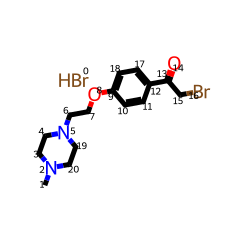 Br.CN1CCN(CCOc2ccc(C(=O)CBr)cc2)CC1